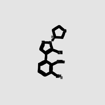 COc1c(N)cccc1-c1cnn([C@@H]2CCOC2)c1C#N